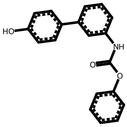 O=C(Nc1cccc(-c2ccc(O)cc2)c1)Oc1ccccc1